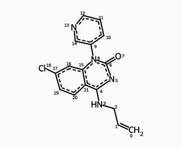 C=CCNc1nc(=O)n(-c2cccnc2)c2cc(Cl)ccc12